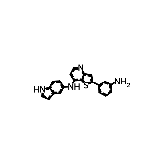 Nc1cccc(-c2cc3nccc(Nc4ccc5[nH]ccc5c4)c3s2)c1